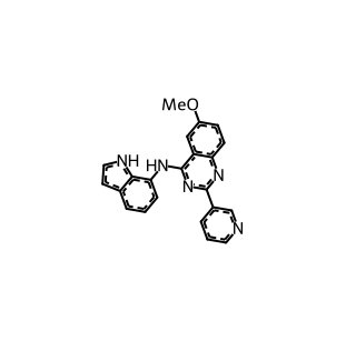 COc1ccc2nc(-c3cccnc3)nc(Nc3cccc4cc[nH]c34)c2c1